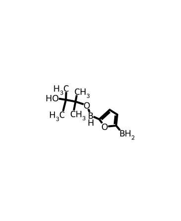 Bc1ccc(BOC(C)(C)C(C)(C)O)o1